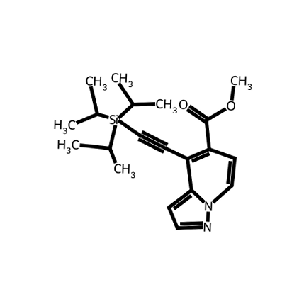 COC(=O)c1ccn2nccc2c1C#C[Si](C(C)C)(C(C)C)C(C)C